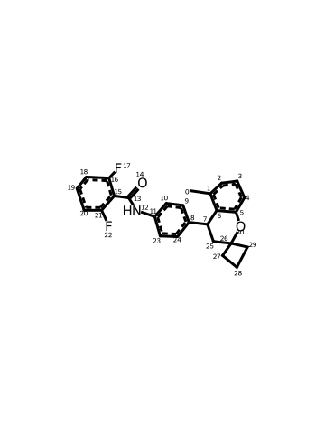 Cc1cccc2c1C(c1ccc(NC(=O)c3c(F)cccc3F)cc1)CC1(CCC1)O2